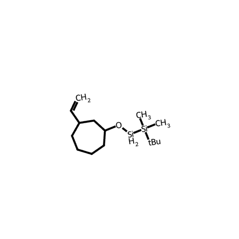 C=CC1CCCCC(O[SiH2][Si](C)(C)C(C)(C)C)C1